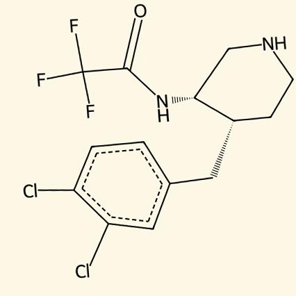 O=C(N[C@@H]1CNCC[C@@H]1Cc1ccc(Cl)c(Cl)c1)C(F)(F)F